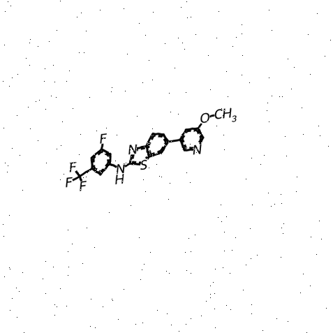 COc1cncc(-c2ccc3nc(Nc4cc(F)cc(C(F)(F)F)c4)sc3c2)c1